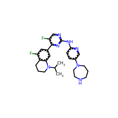 CC(C)N1CCCc2c(F)cc(-c3nc(Nc4ccc(N5CCCNCC5)cn4)ncc3F)cc21